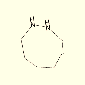 [CH]1CCCCNNC1